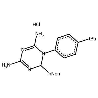 CCCCCCCCCC1N=C(N)N=C(N)N1c1ccc(C(C)(C)C)cc1.Cl